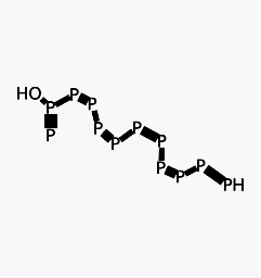 OP(#P)\P=P/P=P\P=P/P=P\P=P